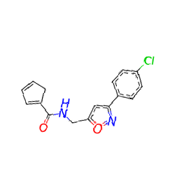 O=C(NCc1cc(-c2ccc(Cl)cc2)no1)C1=CC=CC1